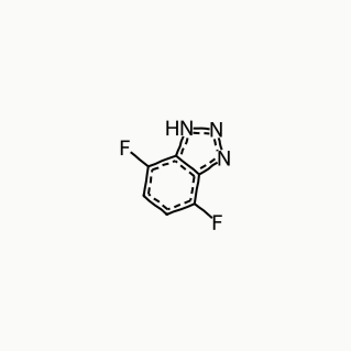 Fc1ccc(F)c2[nH]nnc12